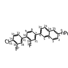 CCCc1ccc2cc(-c3ccc(-c4ccc(Cl)c(F)c4)c(F)c3)ccc2c1